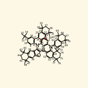 Cc1cc2c3c(c1)N(c1ccc(C(C)(C)C)cc1-c1ccc4c(c1)C(C)(C)CCC4(C)C)c1c(oc4cc5c(cc14)C(C)(C)CCC5(C)C)B3c1ccc3c(c1N2c1ccc2c(c1)C(C)(C)CCC2(C)C)C(C)(C)CCC3(C)C